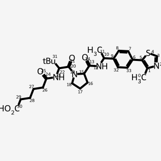 Cc1ncsc1-c1ccc(C(C)NC(=O)C2CCCN2C(=O)C(NC(=O)CCCCC(=O)O)C(C)(C)C)cc1